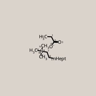 CCC(=O)[O-].CCCCCCCCC[N+](C)(C)C